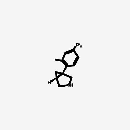 Cc1cc(C(F)(F)F)ccc1[C@@]12CNC[C@@H]1C2